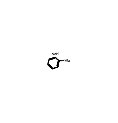 CCCCc1cc[c]cc1.[NaH]